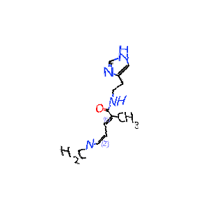 C=N/C=C\C=C(/C)C(=O)NCCc1c[nH]cn1